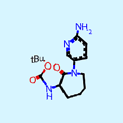 CC(C)(C)OC(=O)NC1CCCCN(c2ccc(N)nc2)C1=O